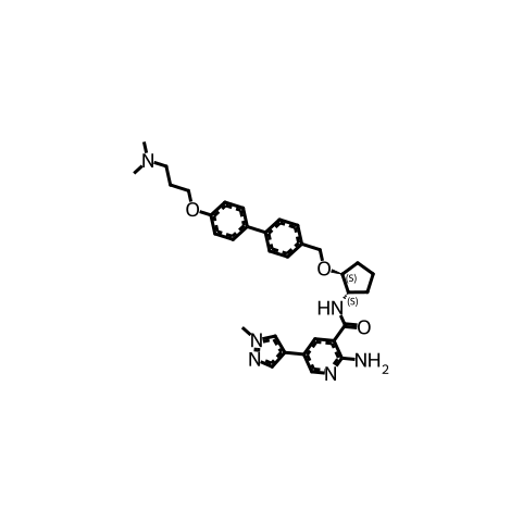 CN(C)CCCOc1ccc(-c2ccc(CO[C@H]3CCC[C@@H]3NC(=O)c3cc(-c4cnn(C)c4)cnc3N)cc2)cc1